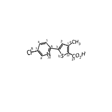 Cc1cc(-c2ccc(Cl)cn2)sc1C(=O)O